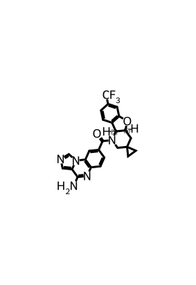 Nc1nc2ccc(C(=O)N3CC4(CC4)C[C@@H]4Oc5cc(C(F)(F)F)ccc5[C@@H]43)cc2n2cncc12